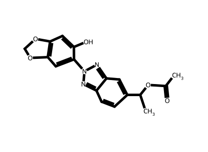 CC(=O)OC(C)c1ccc2nn(-c3cc4c(cc3O)OCO4)nc2c1